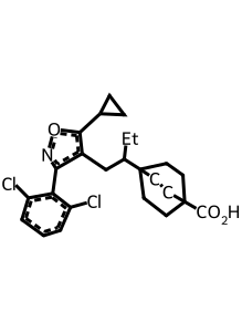 CCC(Cc1c(-c2c(Cl)cccc2Cl)noc1C1CC1)C12CCC(C(=O)O)(CC1)CC2